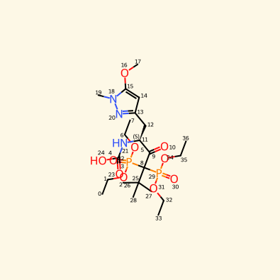 CCOP(=O)(OCC)C(C(=O)[C@H](Cc1cc(OC)n(C)n1)NC(=O)O)(C(C)(C)C)P(=O)(OCC)OCC